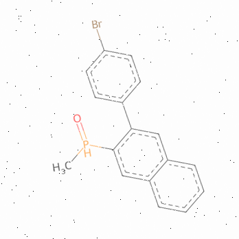 C[PH](=O)c1cc2ccccc2cc1-c1ccc(Br)cc1